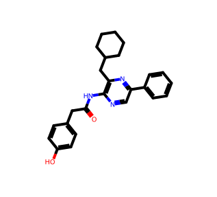 O=C(Cc1ccc(O)cc1)Nc1ncc(-c2ccccc2)nc1CC1CCCCC1